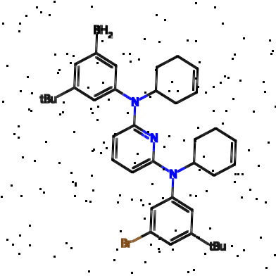 Bc1cc(N(c2cccc(N(c3cc(Br)cc(C(C)(C)C)c3)C3CC=CCC3)n2)C2CC=CCC2)cc(C(C)(C)C)c1